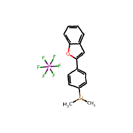 C[S+](C)c1ccc(-c2cc3ccccc3o2)cc1.F[P-](F)(F)(F)(F)F